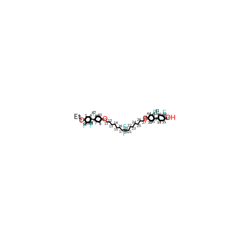 CCOc1ccc(-c2ccc(OCCCCCCCC(F)(F)CCCCCCCOc3ccc(-c4ccc(O)c(F)c4F)c(F)c3)cc2F)c(F)c1F